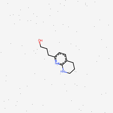 OCCCc1ccc2c(n1)NCCC2